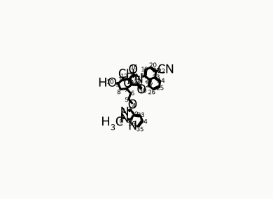 Cn1nc(OCCC23CC(O)C(C)(O2)C2C(=O)N(c4ccc(C#N)c5ccccc45)C(=O)C23)c2cccnc21